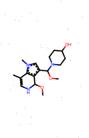 COC1NC=C(C)c2c1c(C(OC)N1CCC(O)CC1)cn2C